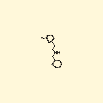 Fc1[c]ccc(CCNCc2ccccc2)c1